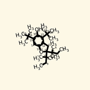 CCC(C)(C)C1(C(C)(C)CC)Cc2c(cc(C(C)(C)C)c(O)c2C(C)(C)C)O1